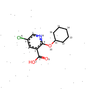 O=C(O)c1cc(Cl)cnc1OC1CCCCC1